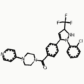 O=C(c1ccc(C2=CC(C(F)(F)F)NN2c2ccccc2Cl)cc1)N1CCN(c2ccncc2)CC1